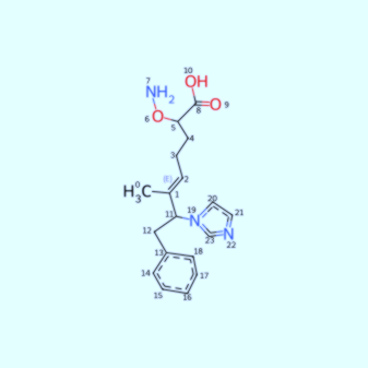 C/C(=C\CCC(ON)C(=O)O)C(Cc1ccccc1)n1ccnc1